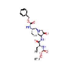 CC(C)C[C@@H](CN1CC(=O)C(NC(=O)[C@H](CC(C)C)NC(=O)OOC(C)(C)C)C1)NC(=O)OCc1ccccc1